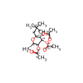 CC(=O)OC1C(C)OC(CC(C)(C)C)C(OC(C)=O)C1OC(C)=O